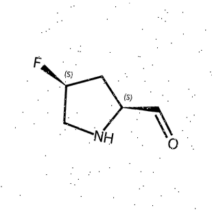 O=C[C@@H]1C[C@H](F)CN1